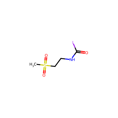 CS(=O)(=O)CCNC(=O)I